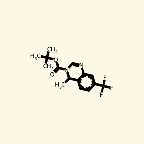 CC1c2ccc(C(F)(F)F)cc2N=CN1C(=O)OC(C)(C)C